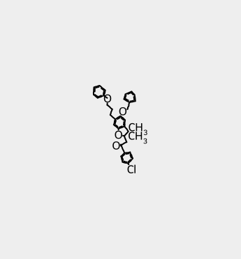 CC1(C)c2cc(OCc3ccccc3)c(CCCOc3ccccc3)cc2OC1CC(=O)c1ccc(Cl)cc1